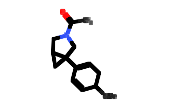 COC1C=CC(C23CC2CN(C(=O)C(F)(F)F)C3)=CC1